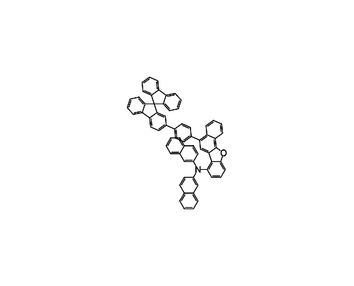 c1ccc2c(c1)-c1ccccc1C21c2ccccc2-c2ccc(-c3ccc(-c4cc5c(oc6cccc(N(c7ccc8ccccc8c7)c7ccc8ccccc8c7)c65)c5ccccc45)cc3)cc21